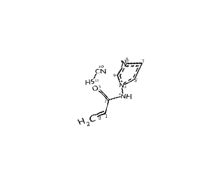 C=CC(=O)Nn1ccnc1.N#CS